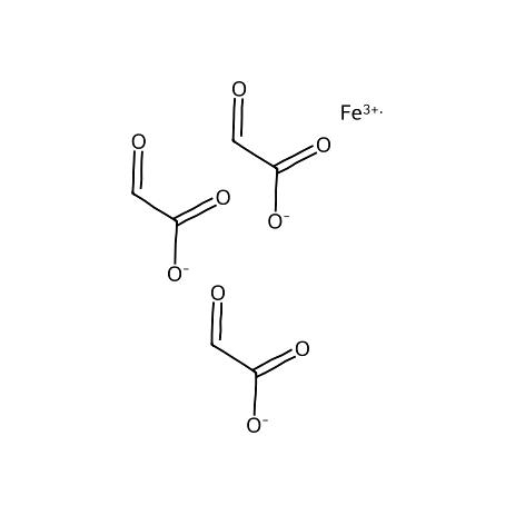 O=CC(=O)[O-].O=CC(=O)[O-].O=CC(=O)[O-].[Fe+3]